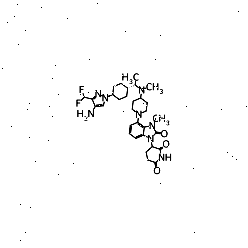 CC([C@H]1CC[C@H](n2cc(N)c(C(F)F)n2)CC1)N(C)C1CCN(c2cccc3c2n(C)c(=O)n3C2CCC(=O)NC2=O)CC1